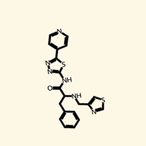 O=C(Nc1nnc(-c2ccncc2)s1)C(Cc1ccccc1)NCc1cscn1